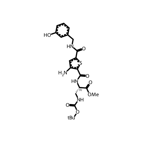 COC(=O)[C@H](CNC(=O)OC(C)(C)C)NC(=O)c1sc(C(=O)NCc2cccc(O)c2)cc1N